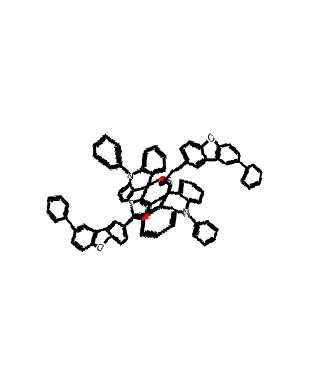 c1ccc(-c2ccc3oc4ccc(-c5cc6c(s5)C5(c7ccccc7N(c7ccccc7)c7ccccc75)c5cc(-c7ccc8oc9ccc(-c%10ccccc%10)cc9c8c7)sc5C65c6ccccc6N(c6ccccc6)c6ccccc65)cc4c3c2)cc1